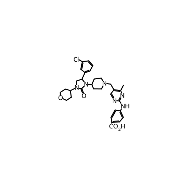 Cc1nc(Nc2ccc(C(=O)O)cc2)ncc1CN1CCC(N2C(=O)N(C3CCOCC3)CC2c2cccc(Cl)c2)CC1